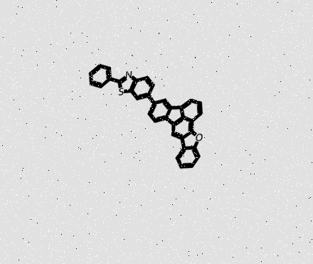 c1ccc(-c2nc3ccc(-c4ccc5c(c4)-c4cccc6c4c-5cc4c5ccccc5oc64)cc3s2)cc1